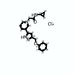 O=C(C[n+]1cccc(-c2cc(COc3ccccc3)n[nH]2)c1)NC1CC1.[Cl-]